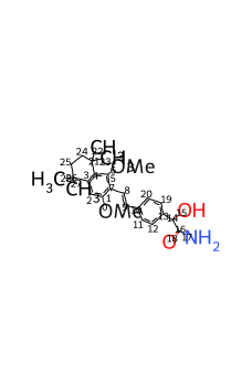 COc1cc2c(c(OC)c1/C=C/c1ccc(C(O)C(N)=O)cc1)C(C)(C)CCC2(C)C